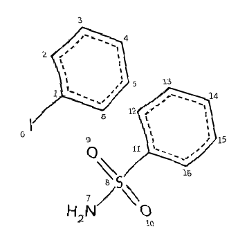 Ic1ccccc1.NS(=O)(=O)c1ccccc1